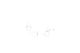 Nc1noc2c(/C=C/c3cnc(Nc4ccc(S(=O)(=O)N5CCCCC5)cc4)nc3)cccc12